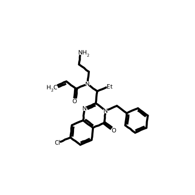 C=CC(=O)N(CCN)C(CC)c1nc2cc(Cl)ccc2c(=O)n1Cc1ccccc1